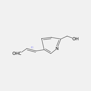 O=C/C=C/c1ccc(CO)nc1